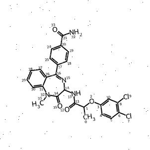 CC(Oc1ccc(Cl)c(Cl)c1)C(=O)NC1N=C(c2ccc(C(N)=O)cc2)c2ccccc2N(C)C1=O